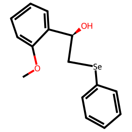 COc1ccccc1[C@@H](O)C[Se]c1ccccc1